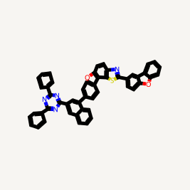 c1ccc(-c2nc(-c3ccccc3)nc(-c3cc(-c4ccc5c(c4)oc4ccc6nc(-c7ccc8oc9ccccc9c8c7)sc6c45)c4ccccc4c3)n2)cc1